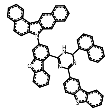 c1ccc2cc3c(cc2c1)c1c2ccccc2ccc1n3-c1cc(C2=NC(c3ccc4sc5ccccc5c4c3)=NC(c3cccc4ccccc34)N2)c2c(c1)oc1ccccc12